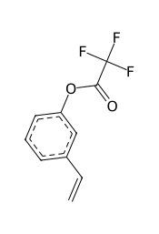 C=Cc1cccc(OC(=O)C(F)(F)F)c1